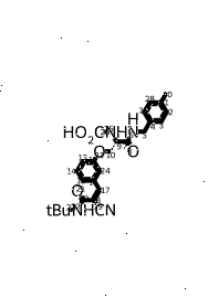 Cc1ccc(CNC(=O)[C@H](COc2cccc(C=C(C#N)C(=O)NC(C)(C)C)c2)NC(=O)O)cc1